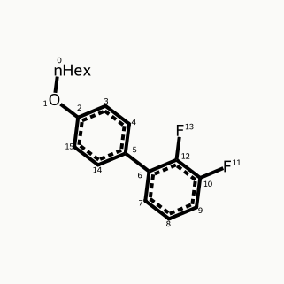 CCCCCCOc1ccc(-c2cccc(F)c2F)cc1